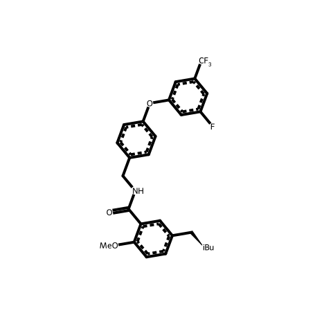 CC[C@H](C)Cc1ccc(OC)c(C(=O)NCc2ccc(Oc3cc(F)cc(C(F)(F)F)c3)cc2)c1